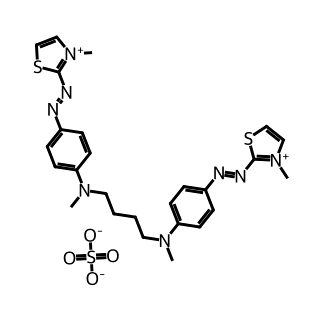 CN(CCCCN(C)c1ccc(N=Nc2scc[n+]2C)cc1)c1ccc(N=Nc2scc[n+]2C)cc1.O=S(=O)([O-])[O-]